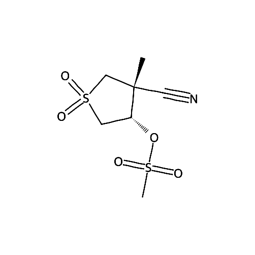 C[C@]1(C#N)CS(=O)(=O)C[C@H]1OS(C)(=O)=O